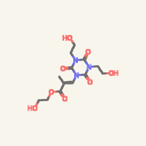 CC(=Cn1c(=O)n(CCO)c(=O)n(CCO)c1=O)C(=O)OCCO